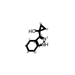 OC1(c2n[nH]c3c2CCCC3)CC1